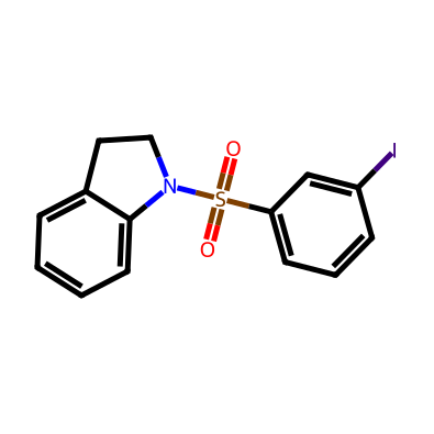 O=S(=O)(c1cccc(I)c1)N1CCc2ccccc21